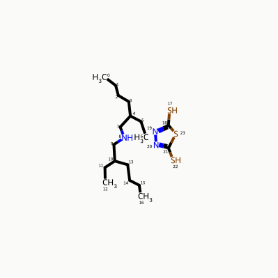 CCCCC(CC)CNCC(CC)CCCC.Sc1nnc(S)s1